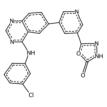 O=c1[nH]nc(-c2cncc(-c3ccc4ncnc(Nc5cccc(Cl)c5)c4c3)c2)o1